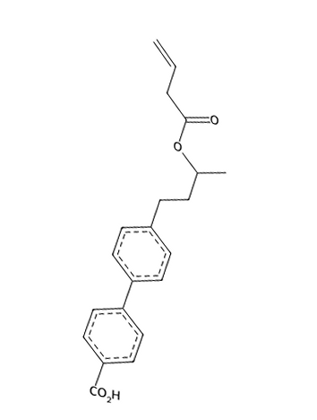 C=CCC(=O)OC(C)CCc1ccc(-c2ccc(C(=O)O)cc2)cc1